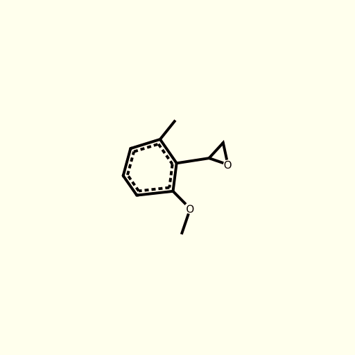 COc1cccc(C)c1C1CO1